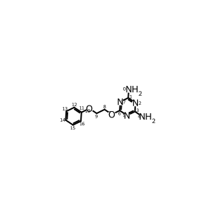 Nc1nc(N)nc(OCCOc2ccccc2)n1